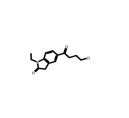 CCN1C(=O)Cc2cc(C(=O)CCCCl)ccc21